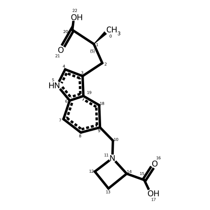 C[C@@H](Cc1c[nH]c2ccc(CN3CCC3C(=O)O)cc12)C(=O)O